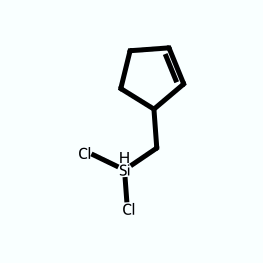 Cl[SiH](Cl)CC1C=CCC1